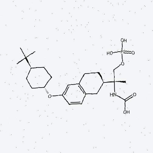 CC(C)(C)[C@H]1CC[C@H](Oc2ccc3c(c2)CC[C@@H]([C@](C)(COP(=O)(O)O)NC(=O)O)C3)CC1